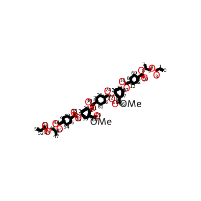 C=CC(=O)OCC(C)OC(=O)C1CCC(C(=O)Oc2ccc(OC(=O)C3CCC(C(=O)Oc4ccc(OC(=O)C5CCC(C(=O)OC(C)COC(=O)C=C)CC5)cc4C(=O)OC)CC3)c(C(=O)OC)c2)CC1